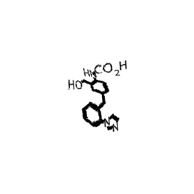 O=C(O)Nc1ccc(Cc2ccccc2-n2ccnc2)cc1CO